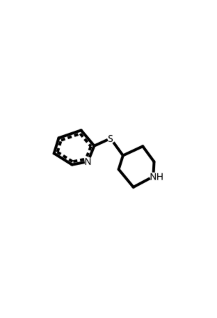 c1ccc(SC2CCNCC2)nc1